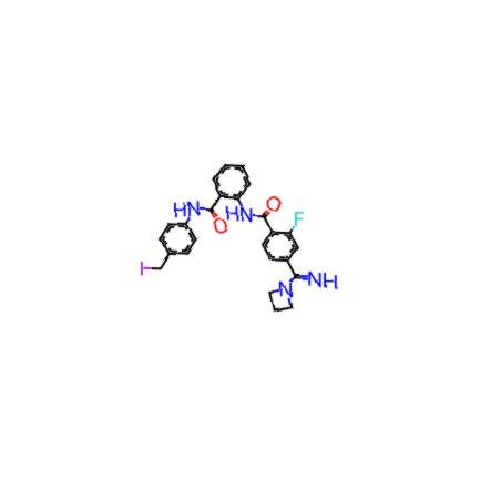 N=C(c1ccc(C(=O)Nc2ccccc2C(=O)Nc2ccc(CI)cc2)c(F)c1)N1CCC1